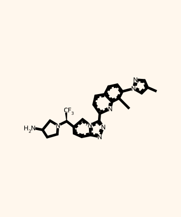 Cc1cnn(-c2ccc3ccc(-c4nnc5ccc([C@@H](N6CCC(N)C6)C(F)(F)F)cn45)nc3c2C)c1